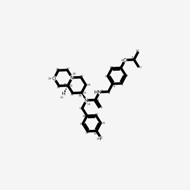 C=C(NCc1ccc(OC(C)C)cc1)N(Cc1ccc(F)cc1)[C@@H]1CCN2CCOC[C@@H]2C1